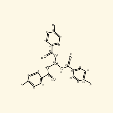 Cc1ccc(C(=O)O[Si](OC(=O)c2ccc(C)cc2)OC(=O)c2ccc(C)cc2)cc1